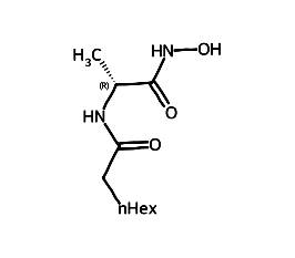 CCCCCCCC(=O)N[C@H](C)C(=O)NO